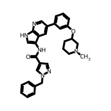 CN1CCCC(Oc2cccc(-c3cnc4[nH]cc(NC(=O)c5cnn(Cc6ccccc6)c5)c4c3)c2)C1